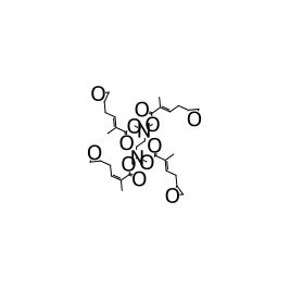 CC(=CCC1CO1)C(=O)ON(CCN(OC(=O)C(C)=CCC1CO1)OC(=O)C(C)=CCC1CO1)OC(=O)C(C)=CCC1CO1